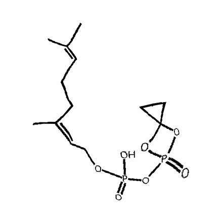 CC(C)=CCCC(C)=CCOP(=O)(O)OP1(=O)OC2(CC2)O1